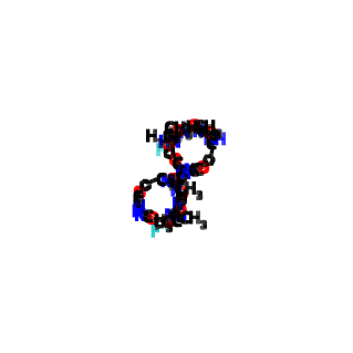 CC(C)C[C@H]1NC(=O)c2cc(F)ccc2OCc2nnn(c2-c2ccc(C[C@H]3C(=O)NCCc4ccc(cc4)OCCn4cc(nn4)COc4cc(F)cc(F)c4C(=O)N[C@H](CC(C)C)C(=O)N4CCC[C@@H]4C(=O)N3C)cc2)CCOc2ccc(cc2)CCNC(=O)[C@H](Cc2ccccc2)N(C)C(=O)[C@H]2CCCN2C1=O